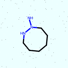 [NH]N1CCCCCCN1